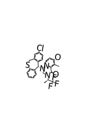 Cc1c2n(ccc1=O)N([C@H]1c3ccc(Cl)cc3CSc3ccccc31)CN([C@H](C)C(F)(F)F)C2=O